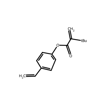 C=Cc1ccc(OC(=O)C(=C)C(C)(C)C)cc1